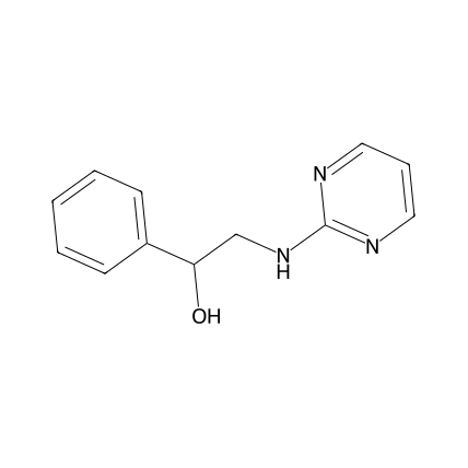 OC(CNc1ncccn1)c1ccccc1